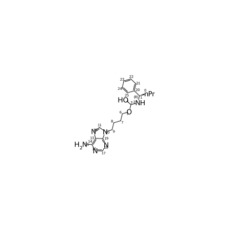 CCC[C@@H](NC(O)OCCCCn1cnc2c(N)ncnc21)c1ccccc1